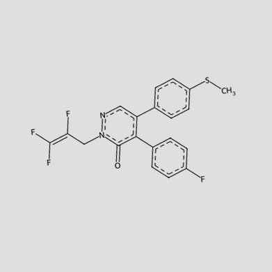 CSc1ccc(-c2cnn(CC(F)=C(F)F)c(=O)c2-c2ccc(F)cc2)cc1